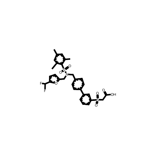 Cc1cc(C)c(S(=O)(=O)N(Cc2ccc(-c3cccc(S(=O)(=O)CC(=O)O)c3)cc2)Cc2ccc(C(F)F)o2)c(C)c1